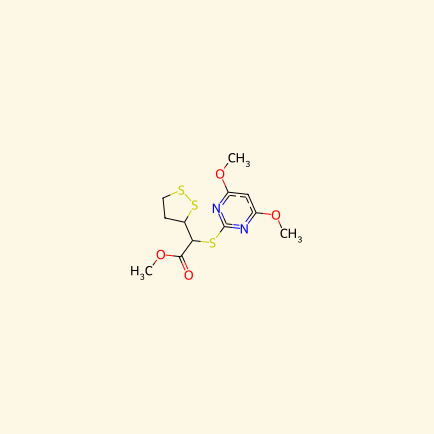 COC(=O)C(Sc1nc(OC)cc(OC)n1)C1CCSS1